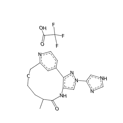 CC1CCCCc2cc(ccn2)-c2nn(-c3c[nH]cn3)cc2NC1=O.O=C(O)C(F)(F)F